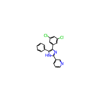 Clc1cc(Cl)cc(-c2nc(-c3cccnc3)[nH]c2-c2ccccc2)c1